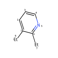 C[CH]c1cccnc1CC